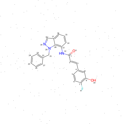 O=C(C=Cc1ccc(F)c(O)c1)Nc1cccc2cnn(Cc3ccccc3)c12